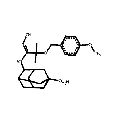 CC(C)(OCc1ccc(OC(F)(F)F)cc1)/C(=N\C#N)NC1C2CC3CC1CC(C(=O)O)(C3)C2